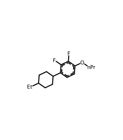 CCCOc1ccc(C2CCC(CC)CC2)c(F)c1F